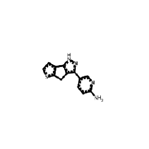 Nc1ccc(-c2n[nH]c3c2Cc2sccc2-3)cn1